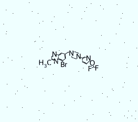 Cc1cnc2cc(CN3CCN(c4ccc(OC(F)F)nc4)CC3)cc(Br)c2n1